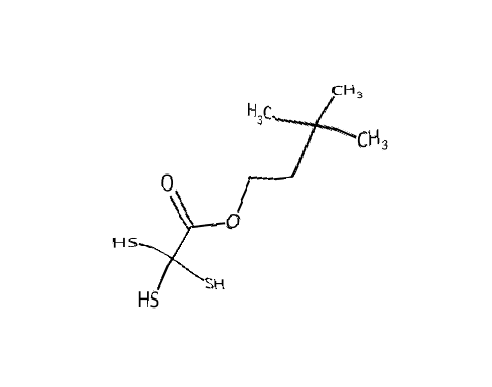 CC(C)(C)CCOC(=O)C(S)(S)S